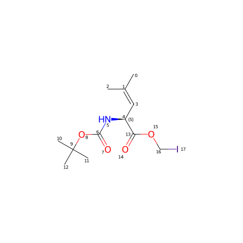 CC(C)=C[C@H](NC(=O)OC(C)(C)C)C(=O)OCI